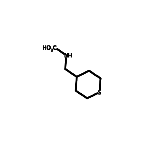 O=C(O)NCC1CCSCC1